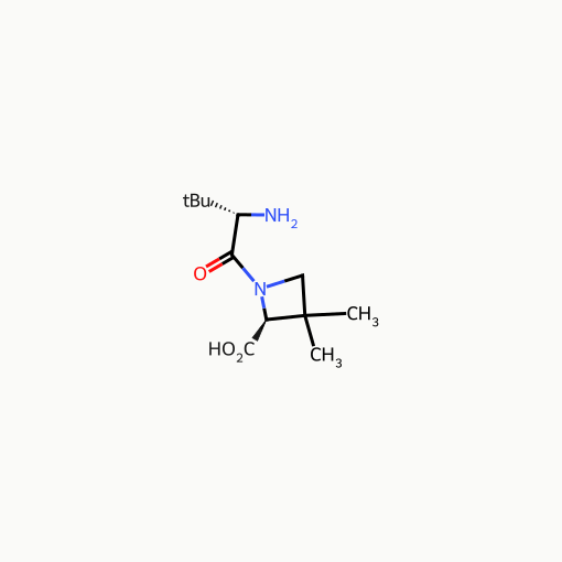 CC(C)(C)[C@H](N)C(=O)N1CC(C)(C)[C@H]1C(=O)O